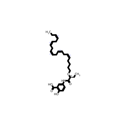 CC/C=C\C/C=C\C/C=C\C/C=C\C/C=C\CCCCO[C@@H](CC)C(=O)Nc1ccc(O)c(C(=O)O)c1